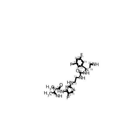 CC(=N)N(C)C(=O)Nc1nc(NCCNC(=O)N[C@@H](CC=N)c2cc(F)cc(F)c2)ncc1F